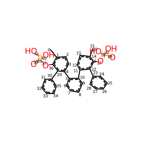 Cc1ccc(-c2ccccc2-c2ccc(C)c(OP(=O)(O)O)c2-c2ccccc2)c(-c2ccccc2)c1OP(=O)(O)O